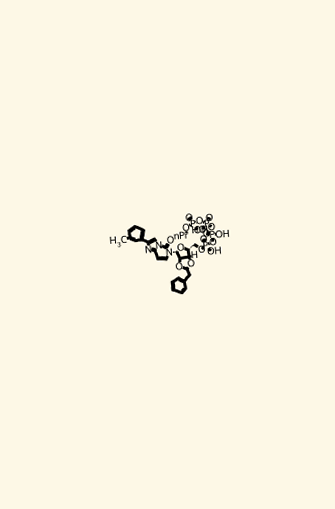 CCCOP(=O)(O)OP(=O)(O)OP(=O)(O)OP(=O)(O)OC[C@H]1O[C@@H](n2ccc3nc(-c4cccc(C)c4)cn3c2=O)C2OC(Cc3ccccc3)O[C@H]21